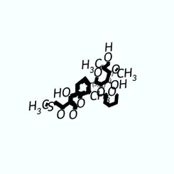 CO[C@@H]1[C@H](O)[C@@H](OC2CCCCO2)[C@H](c2ccc3c(O)c(C(=O)CSC)c(=O)oc3c2C)O[C@]1(C)CO